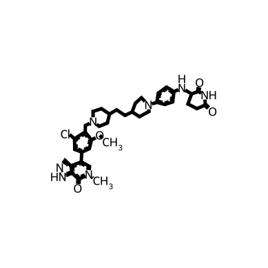 COc1cc(-c2cn(C)c(=O)c3[nH]ncc23)cc(Cl)c1CN1CCC(CCC2CCN(c3ccc(NC4CCC(=O)NC4=O)cc3)CC2)CC1